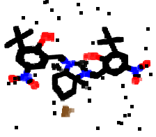 CC(C)(C)c1cc([N+](=O)[O-])cc(C=[N+]2[Cr][N+](=Cc3cc([N+](=O)[O-])cc(C(C)(C)C)c3O)[C@@H]3CCCC[C@H]32)c1O.[Br-]